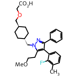 COCCc1c(-c2cccc(C)c2F)c(-c2ccccc2)nn1C[C@H]1CC[C@H](COCC(=O)O)CC1